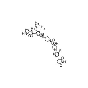 CC(C)Oc1cc2nn(C3CCN(C(=O)CC4(O)CCN(c5ncc(C6CCC(=O)NC6=O)cc5F)CC4)CC3)cc2cc1C(=O)Nc1ccc[nH]c1=O